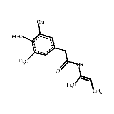 CC=C(N)NC(=O)Cc1cc(C)c(OC)c(C(C)(C)C)c1